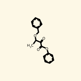 CC(OCc1ccccc1)C(=O)C(=O)Oc1ccccc1